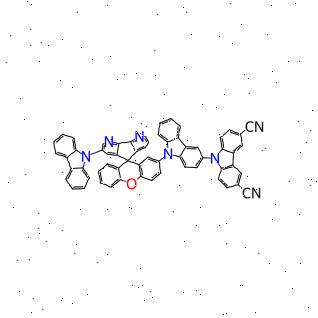 N#Cc1ccc2c(c1)c1cc(C#N)ccc1n2-c1ccc2c(c1)c1ccccc1n2-c1ccc2c(c1)C1(c3ccccc3O2)c2cccnc2-c2ncc(-n3c4ccccc4c4ccccc43)cc21